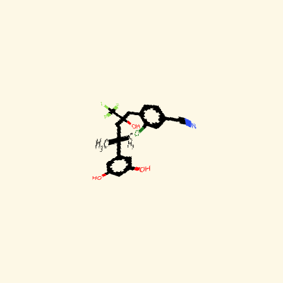 CC(C)(CC(O)(Cc1ccc(C#N)cc1Cl)C(F)(F)F)c1cc(O)cc(O)c1